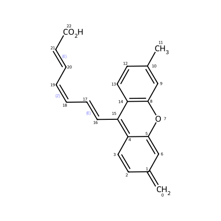 C=c1ccc2c(c1)Oc1cc(C)ccc1C=2/C=C/C=C\C=C\C(=O)O